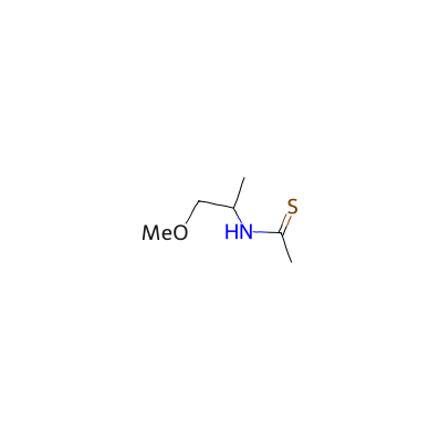 COCC(C)NC(C)=S